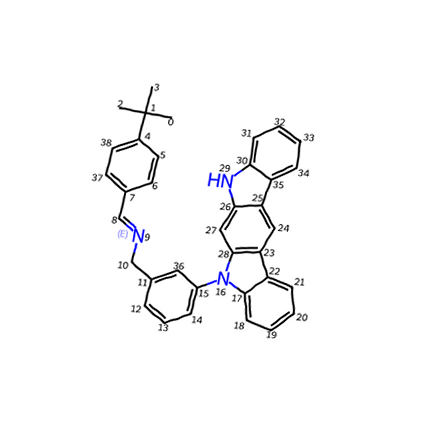 CC(C)(C)c1ccc(/C=N/Cc2cccc(-n3c4ccccc4c4cc5c(cc43)[nH]c3ccccc35)c2)cc1